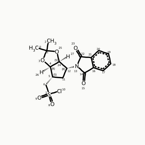 CC1(C)O[C@@H]2[C@@H](CS(=O)(=O)Cl)C[C@@H](N3C(=O)c4ccccc4C3=O)[C@@H]2O1